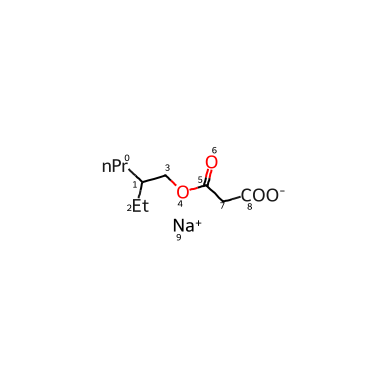 CCCC(CC)COC(=O)CC(=O)[O-].[Na+]